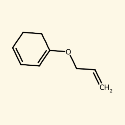 C=CCOC1=CC=CCC1